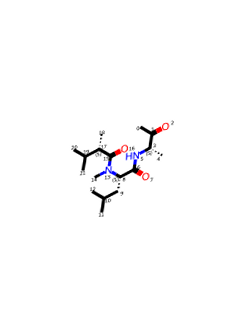 CC(=O)[C@H](C)NC(=O)[C@H](CC(C)C)N(C)C(=O)[C@@H](C)C(C)C